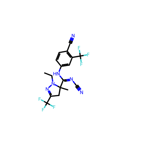 CCN1N=C(C(F)(F)F)CC1(C)/C(=N\C#N)Nc1ccc(C#N)c(C(F)(F)F)c1